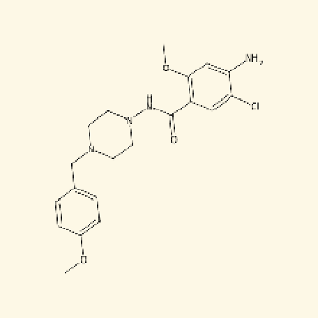 COc1ccc(CN2CCN(NC(=O)c3cc(Cl)c(N)cc3OC)CC2)cc1